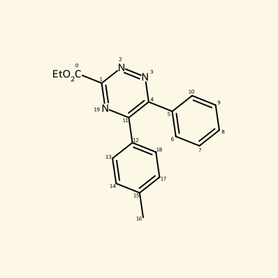 CCOC(=O)c1nnc(-c2ccccc2)c(-c2ccc(C)cc2)n1